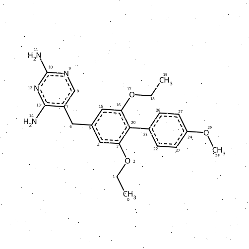 CCOc1cc(Cc2cnc(N)nc2N)cc(OCC)c1-c1ccc(OC)cc1